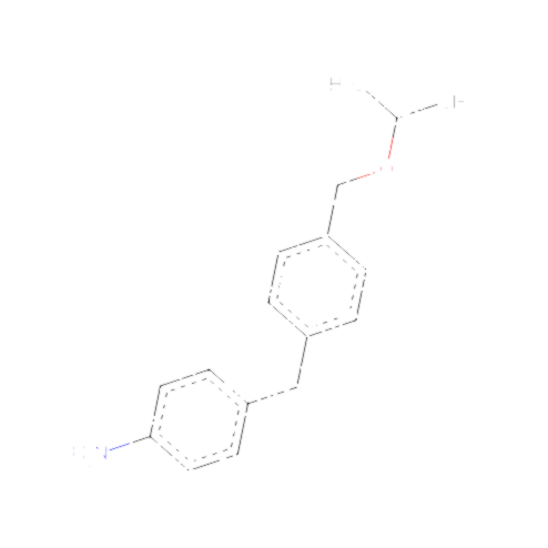 CC(C)OCc1ccc(Cc2ccc(N)cc2)cc1